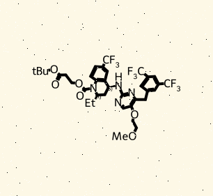 CC[C@@H]1C[C@H](Nc2ncc(OCCOC)c(Cc3cc(C(F)(F)F)cc(C(F)(F)F)c3)n2)c2cc(C(F)(F)F)ccc2N1C(=O)OCCC(=O)OC(C)(C)C